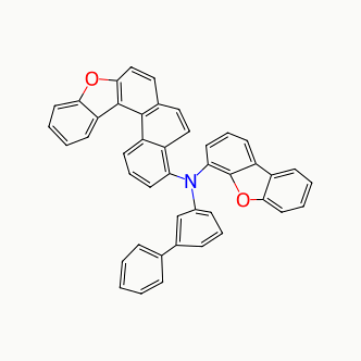 c1ccc(-c2cccc(N(c3cccc4c3ccc3ccc5oc6ccccc6c5c34)c3cccc4c3oc3ccccc34)c2)cc1